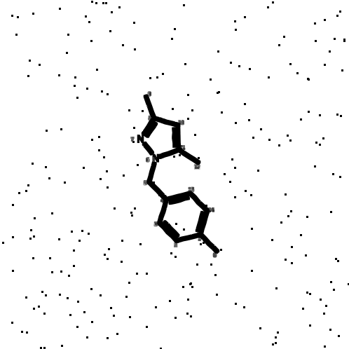 Cc1ccc(Cn2nc(C)cc2C)cc1